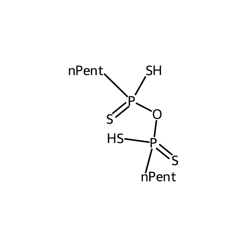 CCCCCP(=S)(S)OP(=S)(S)CCCCC